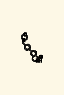 O=C1NCCc2cc(-c3ccc(CN4CCOCC4)cc3)ccc21